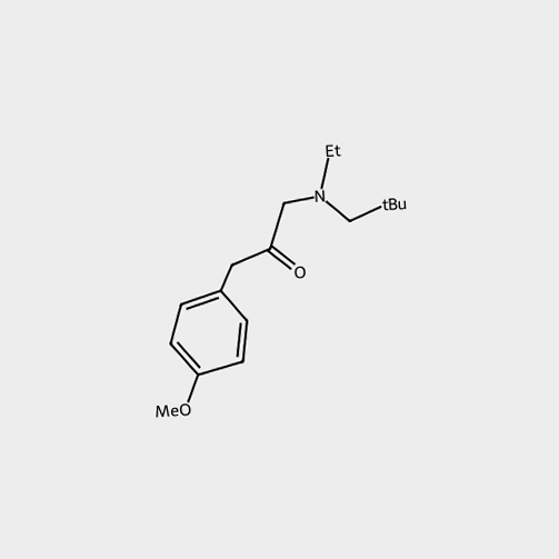 CCN(CC(=O)Cc1ccc(OC)cc1)CC(C)(C)C